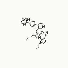 CCCCc1cn(-c2c(C#N)ccn2CCC)c(=O)n1Cc1cnccc1-c1ccc(-c2nnn[nH]2)cc1